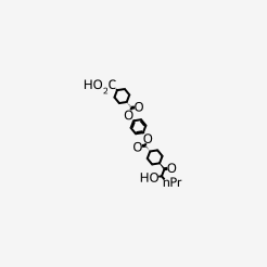 CCCC(O)C(=O)[C@H]1CC[C@H](C(=O)Oc2ccc(OC(=O)[C@H]3CC[C@H](C(=O)O)CC3)cc2)CC1